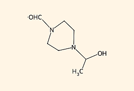 CC(O)N1CCN([C]=O)CC1